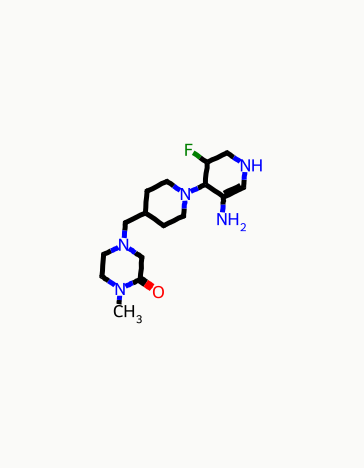 CN1CCN(CC2CCN(C3C(N)=CNCC3F)CC2)CC1=O